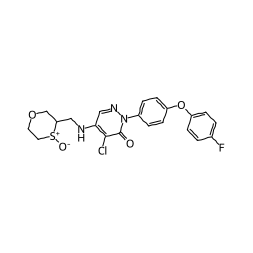 O=c1c(Cl)c(NCC2COCC[S+]2[O-])cnn1-c1ccc(Oc2ccc(F)cc2)cc1